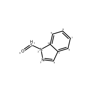 O=[SH]n1ncc2ccccc21